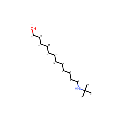 CC(C)(C)NCCCCCCCCCCCCO